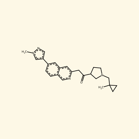 Cn1cc(-c2ccc3cnc(CC(=O)C4CCN(CC5(C)CC5)C4)cc3c2)cn1